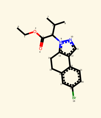 CCOC(=O)C(C(C)C)n1ncc2c1CCc1cc(Br)ccc1-2